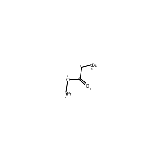 C[CH]COC(=O)CC(C)(C)C